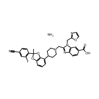 CC1(c2ccc(C#N)cc2F)Oc2cccc(C3CCN(Cc4nc5ccc(C(=O)O)cc5n4Cc4ncco4)CC3)c2O1.N